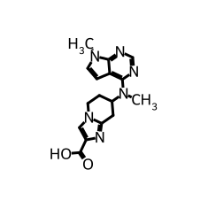 CN(c1ncnc2c1ccn2C)C1CCn2cc(C(=O)O)nc2C1